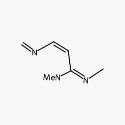 C=N/C=C\C(=N/C)NC